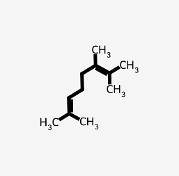 CC(C)=CCCC(C)=C(C)C